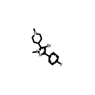 CN1CCC(c2c(Br)c(-c3ccc(F)cc3)nn2C)CC1